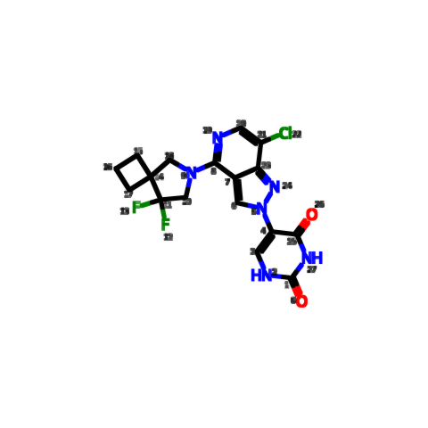 O=c1[nH]cc(-n2cc3c(N4CC(F)(F)C5(CCC5)C4)ncc(Cl)c3n2)c(=O)[nH]1